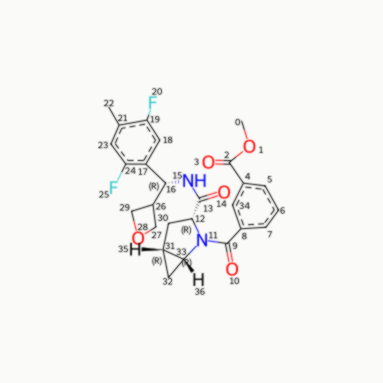 COC(=O)c1cccc(C(=O)N2[C@@H](C(=O)N[C@@H](c3cc(F)c(C)cc3F)C3COC3)C[C@H]3C[C@H]32)c1